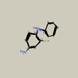 Nc1ccc(Nc2ccccc2)c(F)c1